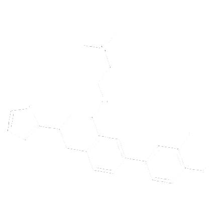 [CH2]C(Cc1ccc(-c2ccc(Cl)c(Cl)c2)cc1COCCN(C)C)c1cccs1